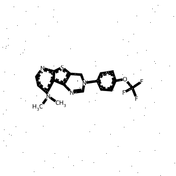 CN(C)c1ccnc2sc3c(c12)N=CN(c1ccc(OC(F)(F)F)cc1)C3